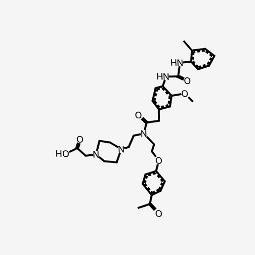 COc1cc(CC(=O)N(CCOc2ccc(C(C)=O)cc2)CCN2CCN(CC(=O)O)CC2)ccc1NC(=O)Nc1ccccc1C